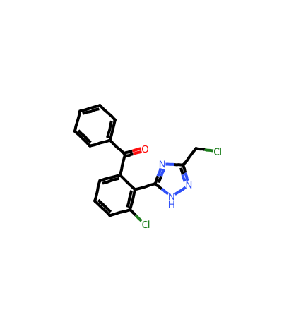 O=C(c1ccccc1)c1cccc(Cl)c1-c1nc(CCl)n[nH]1